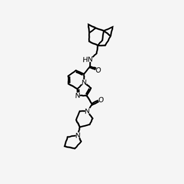 O=C(NCC12CC3CC3C3(CC3C1)C2)c1cccc2nc(C(=O)N3CCC(N4CCCC4)CC3)cn12